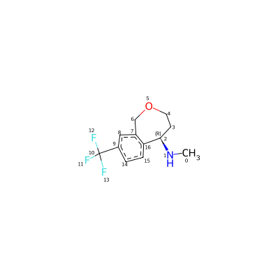 CN[C@@H]1CCOCc2cc(C(F)(F)F)ccc21